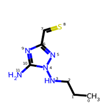 CCCNn1nc(C=S)nc1N